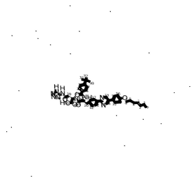 CCCCCCCOc1ccc(-c2cnc(-c3ccc(C[C@H](NC(=O)c4ccc(C(C)(C)C)cc4)C(=O)N[C@@H](CC(=O)Nc4nnn[nH]4)C(=O)O)cc3)nc2)cc1